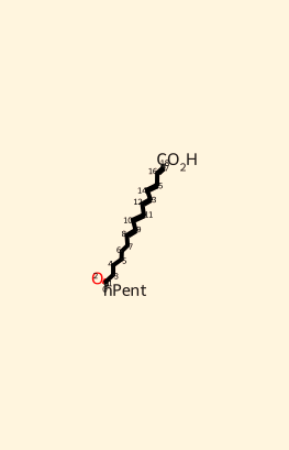 CCCCCC(=O)CCCCCC=CC=CC=CC=CC=CC(=O)O